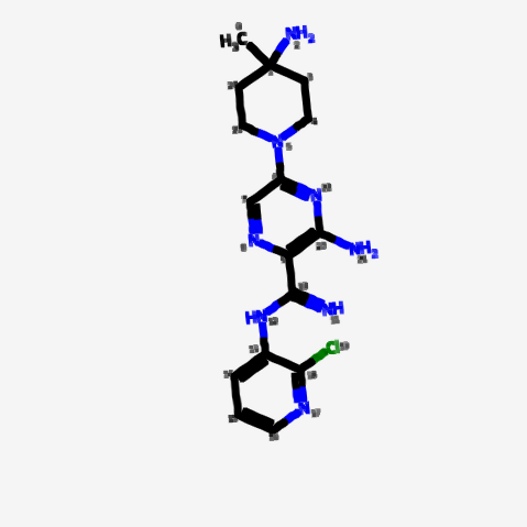 CC1(N)CCN(c2cnc(C(=N)Nc3cccnc3Cl)c(N)n2)CC1